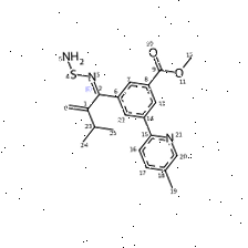 C=C(/C(=N\SN)c1cc(C(=O)OC)cc(-c2ccc(C)cn2)c1)C(C)C